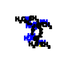 C=C(N)c1cc2c3c(c1)nc(NCCc1cc(C)nn1CC)n3C/C=C/CNc1c(N)cc(C(=C)NSC)cc1CCCCC2